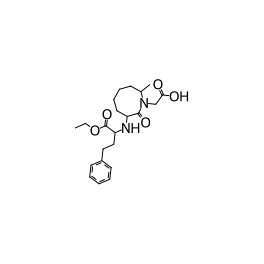 CCOC(=O)C(CCc1ccccc1)NC1CCCCC(C)N(CC(=O)O)C1=O